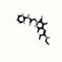 CCN/C(=C/c1c(C)nn(CC(=O)Nc2ncccn2)c(=O)c1C)CC